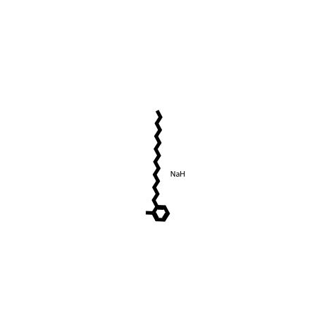 CCCCCCCCCCCCCCCc1ccccc1C.[NaH]